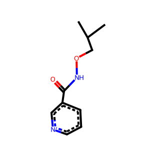 CC(C)CONC(=O)c1cccnc1